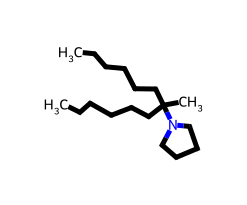 CCCCCCC(C)(CCCCCC)N1CCCC1